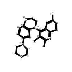 Cc1nc2ccc(Cl)cc2c(N2CCOc3ccc(N4CCOCC4)cc32)c1C